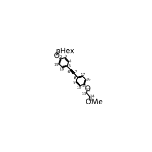 CCCCCCOc1ccc(C#Cc2ccc(OCCOC)cc2)cc1